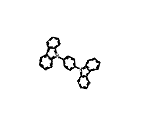 c1ccc2c(c1)c1ccccc1n2-c1ccc(-n2c3ccccc3c3ccccc32)cc1